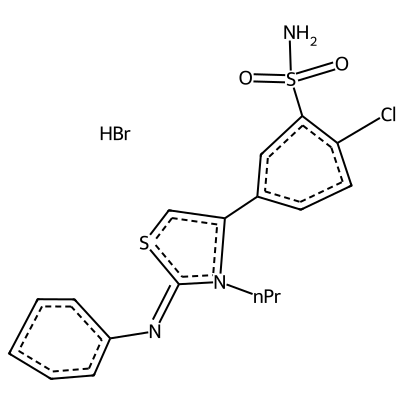 Br.CCCn1c(-c2ccc(Cl)c(S(N)(=O)=O)c2)csc1=Nc1ccccc1